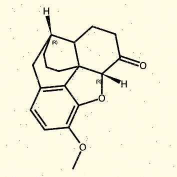 COc1ccc2c3c1O[C@H]1C(=O)CCC4[C@H](CCCC341)C2